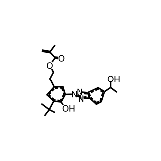 C=C(C)C(=O)OCCc1cc(-n2n3c4ccc(C(C)O)cc4n23)c(O)c(C(C)(C)C)c1